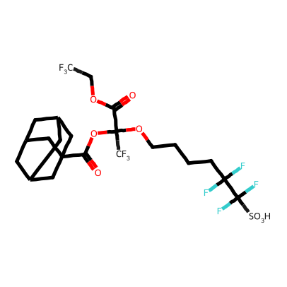 O=C(OC(OCCCCC(F)(F)C(F)(F)S(=O)(=O)O)(C(=O)OCC(F)(F)F)C(F)(F)F)C12CC3CC(CC(C3)C1)C2